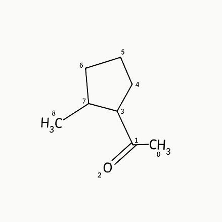 CC(=O)C1CCCC1C